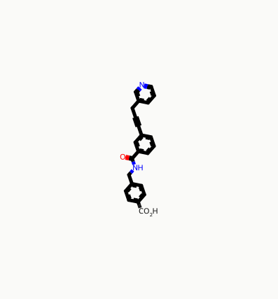 O=C(O)c1ccc(CNC(=O)c2cccc(C#CCc3cccnc3)c2)cc1